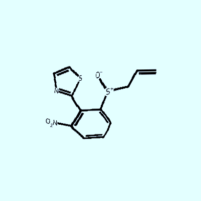 C=CC[S+]([O-])c1cccc([N+](=O)[O-])c1-c1nccs1